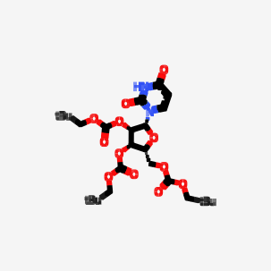 CC(C)(C)COC(=O)OC[C@H]1O[C@@H](n2ccc(=O)[nH]c2=O)[C@H](OC(=O)OCC(C)(C)C)[C@@H]1OC(=O)OCC(C)(C)C